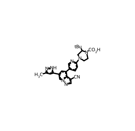 Cc1cc(-c2cc(-c3ccc(N4CCN(C(=O)O)C(C(C)(C)C)C4)nc3)c3c(C#N)cnn3c2)[nH]n1